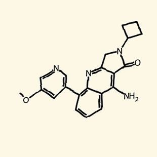 COc1cncc(-c2cccc3c(N)c4c(nc23)CN(C2CCC2)C4=O)c1